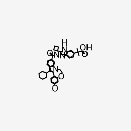 COc1ccc2c(c1)OCCn1c-2c(C2CCCCC2)c2ccc(C(=O)NC3(c4nc5ccc(C(C)(C)C(=O)O)cc5[nH]4)CCC3)cc21